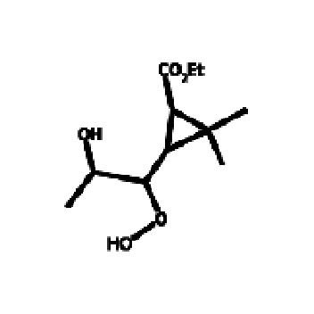 CCOC(=O)C1C(C(OO)C(C)O)C1(C)C